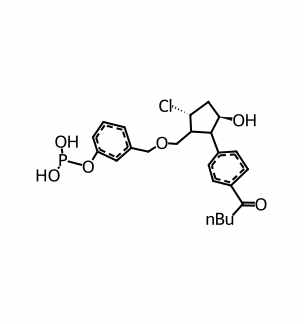 CCCCC(=O)c1ccc(C2C(COCc3cccc(OP(O)O)c3)[C@H](Cl)C[C@H]2O)cc1